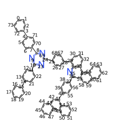 c1ccc(-c2ccc(-c3nc(-c4ccc(-c5ccccc5)cc4)nc(-c4ccc(-c5cccc6c5nc(-c5ccc(-c7cc8ccccc8c8ccccc78)cc5)c5ccc7ccccc7c56)cc4)n3)cc2)cc1